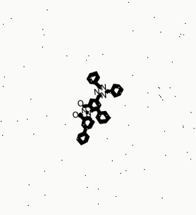 O=c1c2cc(-c3ccccc3)ccc2n2c3c(-c4ccccc4)cc(-c4nc(-c5ccccc5)nc(-c5ccccc5)n4)cc3c(=O)n12